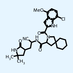 COc1ccc(Cl)c2[nH]c(C(=O)N3CC4(CCCCC4)CC3C(=O)NC(C#N)CC3CC(C)(C)NC3=O)cc12